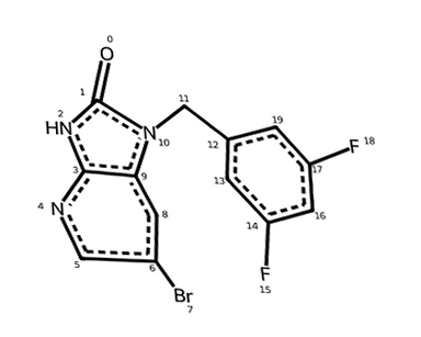 O=c1[nH]c2ncc(Br)cc2n1Cc1cc(F)cc(F)c1